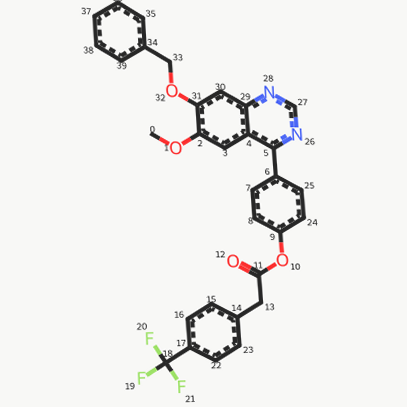 COc1cc2c(-c3ccc(OC(=O)Cc4ccc(C(F)(F)F)cc4)cc3)ncnc2cc1OCc1ccccc1